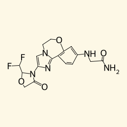 NC(=O)CNc1ccc2c(c1)OCCn1cc(N3C(=O)COC3C(F)F)nc1-2